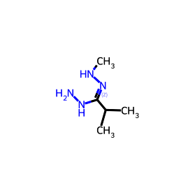 CN/N=C(\NN)C(C)C